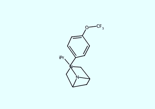 CC(C)N1CC2CC(C1)N2Cc1ccc(OC(F)(F)F)cc1